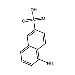 Nc1[c]ccc2cc(S(=O)(=O)O)ccc12